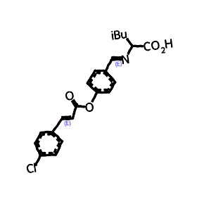 CCC(C)C(/N=C/c1ccc(OC(=O)/C=C/c2ccc(Cl)cc2)cc1)C(=O)O